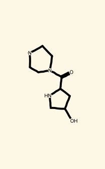 O=C(C1CC(O)CN1)N1CC[N]CC1